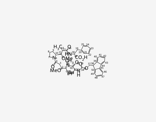 CCC(C)C(C(CC(=O)N1CCC[C@H]1C(OC)C(C)C(=O)NC(Cc1ccccc1)C(=O)O)OC)N(C)C(=O)C(NC(=O)OCC1c2ccccc2-c2ccccc21)C(C)C